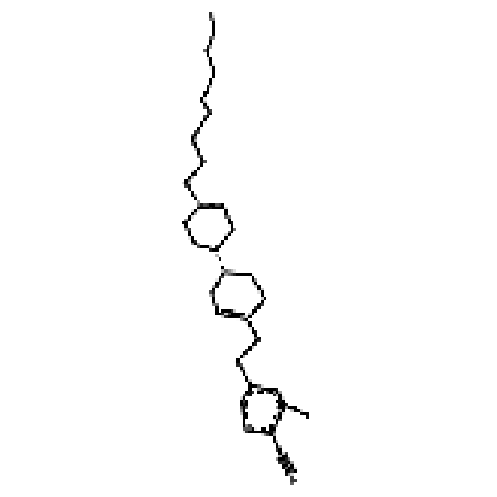 CCCCCCCCC[C@H]1CC[C@H](C2CC=C(CCc3ccc(C#N)c(F)c3)CC2)CC1